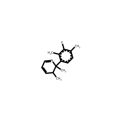 Cc1ccc(C2(C)N=CC=CC2C)c(C)c1F